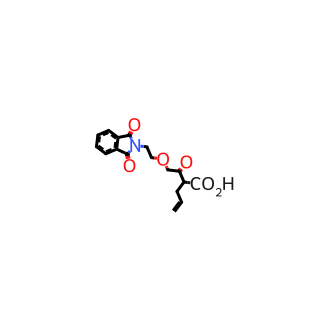 C=CCC(C(=O)O)C(=O)COCCN1C(=O)c2ccccc2C1=O